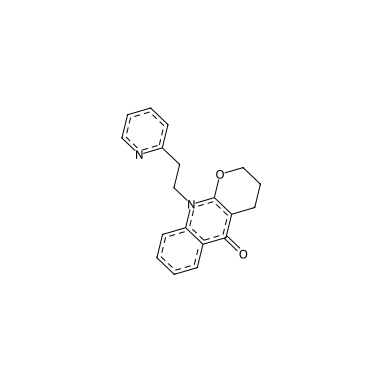 O=c1c2c(n(CCc3ccccn3)c3ccccc13)OCCC2